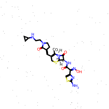 Nc1nc(C(=NO)C(=O)N[C@@H]2C(=O)N3C(C(=O)O)=C(C=C4CCN(CCNC5CC5)C4=O)CS[C@H]23)cs1